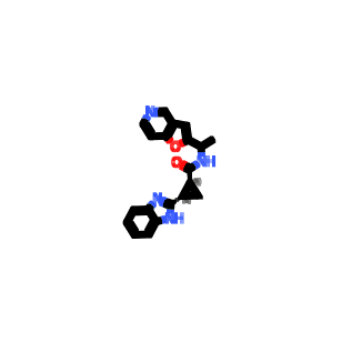 CC(NC(=O)[C@H]1C[C@@H]1c1nc2ccccc2[nH]1)c1cc2cnccc2o1